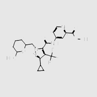 COC(=O)c1cc(NC(=O)c2c(C(F)(F)F)c(C3CC3)nn2CC2CCCC(C)O2)ccn1